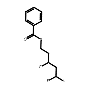 O=C(SCCC(F)CC(F)F)c1ccccc1